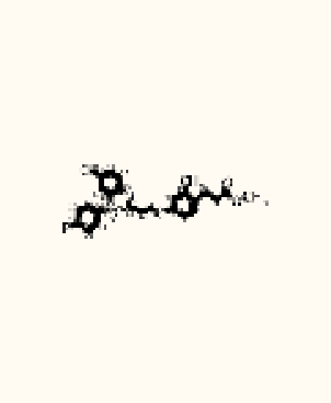 COC(=O)CCc1ccc(OCC[C@H](C)Oc2ccc(Cl)cc2Oc2ccc(F)cc2)cc1C